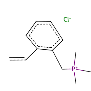 C=Cc1ccccc1C[P+](C)(C)C.[Cl-]